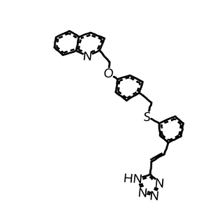 C(=Cc1nnn[nH]1)c1cccc(SCc2ccc(OCc3ccc4ccccc4n3)cc2)c1